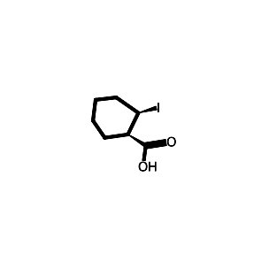 O=C(O)[C@H]1CCCC[C@H]1I